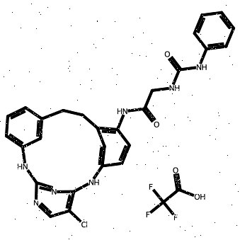 O=C(CNC(=O)Nc1ccccc1)Nc1ccc2cc1CCc1cccc(c1)Nc1ncc(Cl)c(n1)N2.O=C(O)C(F)(F)F